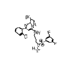 CN(CCCNC1=CC(c2ccccc2Cl)=NC2C(Br)C=NN12)S(=O)(=O)c1cc(F)cc(F)c1